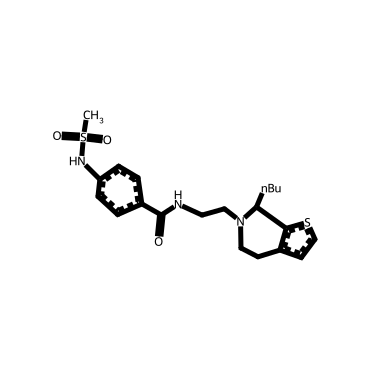 CCCCC1c2sccc2CCN1CCNC(=O)c1ccc(NS(C)(=O)=O)cc1